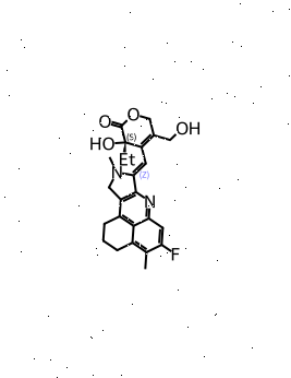 CC[C@@]1(O)C(=O)OCC(CO)=C1/C=C1/c2nc3cc(F)c(C)c4c3c(c2CN1C)CCC4